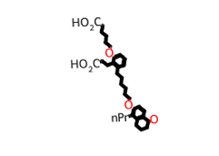 CCCc1c(OCCCCCCc2cccc(OCCCCCC(=O)O)c2CCC(=O)O)ccc2c1CCCC2=O